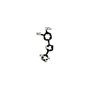 CC(C)COc1ccc(-c2ccc(-c3nnn[nH]3)s2)cc1C#N